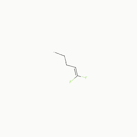 [CH2]CCC=C(F)F